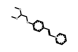 COC(COc1ccc(C=C[n+]2ccccc2)cc1)OC